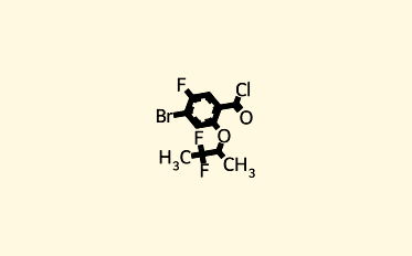 CC(Oc1cc(Br)c(F)cc1C(=O)Cl)C(C)(F)F